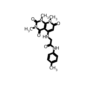 Cc1ccc(NC(=O)CNc2cc(=O)n(C)c3c2c(=O)n(C)c(=O)n3C)cc1